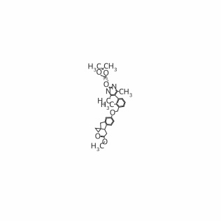 COC(=O)CC1c2ccc(OCc3cccc(-c4c(C)nc(OC[C@@H]5COC(C)(C)O5)nc4C)c3C)cc2CC12CC2